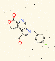 O=Cc1cn(Cc2ccc(F)cc2)c2cnc3c(=O)occc3c12